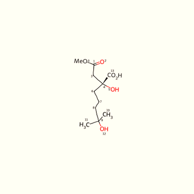 COC(=O)C[C@](O)(CCCC(C)(C)O)C(=O)O